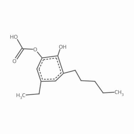 CCCCCc1cc(CC)cc(OC(=O)O)c1O